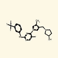 Cc1cn(-c2nc(Nc3cccc(C(F)(F)F)c3)ncc2F)cc1CN1CC[C@@H](O)C1